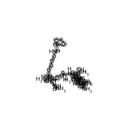 CCCCCCN(C(=O)[C@@H](NC(=O)[C@H]1CCCCN1C)[C@@H](C)CC)[C@H](C[C@@H](OC(=O)NCCNC(=O)OCc1ccc(NC(=O)[C@H](CCCNC(N)=O)NC(=O)[C@@H](NC(=O)CCOCCOCCOCCOCCNC(=O)CCC(=O)N2Cc3ccccc3C3=C(C3)c3ccccc32)C(C)C)cc1)c1nc(C(=O)N[C@@H](Cc2ccc(N)c(F)c2)CC(C)(C)C(=O)O)cs1)C(C)C